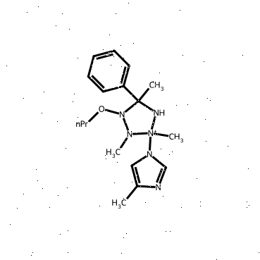 CCCON1N(C)[N+](C)(n2cnc(C)c2)NC1(C)c1ccccc1